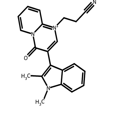 Cc1c(-c2c[n+](CCC#N)c3ccccn3c2=O)c2ccccc2n1C